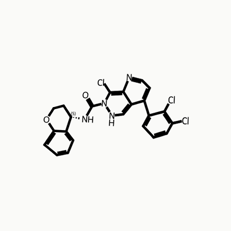 O=C(N[C@H]1CCOc2ccccc21)N1NC=c2c(-c3cccc(Cl)c3Cl)ccnc2=C1Cl